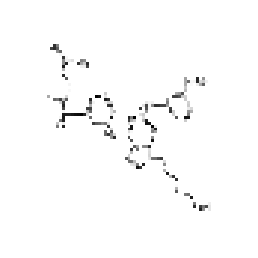 CCN(CC)CCN(C)C(=O)c1cccc(Nc2nc(Nc3cccc(NC)c3)nc3c(CCCCCO)cnn23)c1